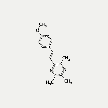 COc1ccc(C=Cc2nc(C)c(C)nc2C)cc1